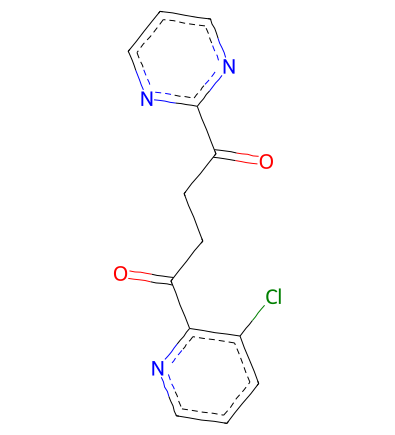 O=C(CCC(=O)c1ncccc1Cl)c1ncccn1